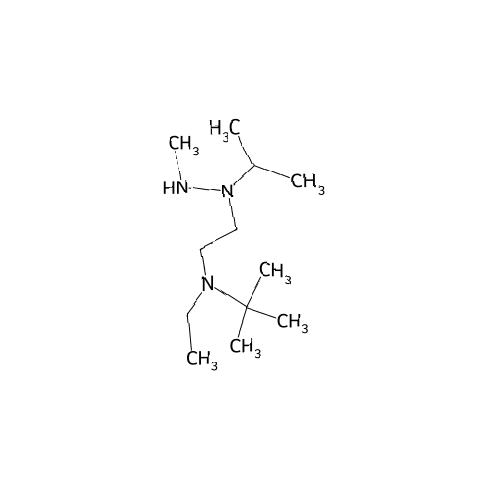 CCN(CCN(NC)C(C)C)C(C)(C)C